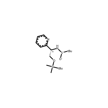 CC(C)(C)[S+]([O-])N[C@H](CO[Si](C)(C)C(C)(C)C)c1ccccn1